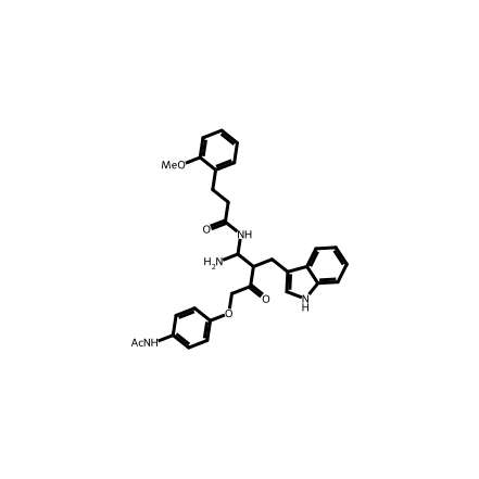 COc1ccccc1CCC(=O)NC(N)C(Cc1c[nH]c2ccccc12)C(=O)COc1ccc(NC(C)=O)cc1